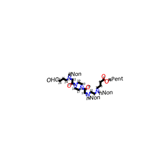 CCCCCCCCCN(CCCC(=O)OCCCCC)CCN(CCCCCCCCC)CC(=O)N1CCN(C(=O)CN(CCCC=O)CCCCCCCCC)CC1